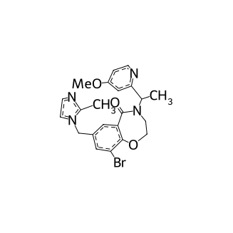 COc1ccnc(C(C)N2CCOc3c(Br)cc(Cn4ccnc4C)cc3C2=O)c1